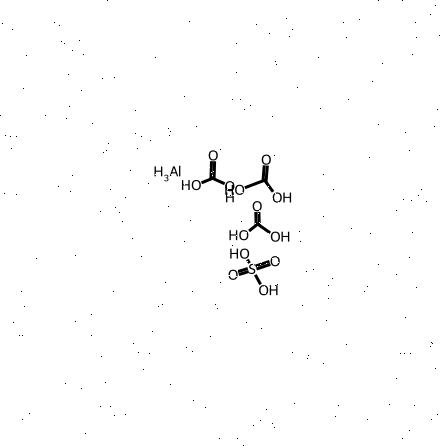 O=C(O)O.O=C(O)O.O=C(O)O.O=S(=O)(O)O.[AlH3]